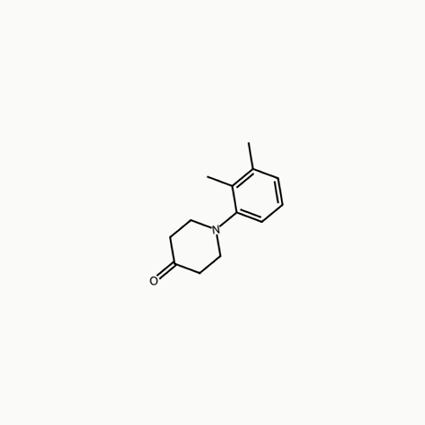 Cc1cccc(N2CCC(=O)CC2)c1C